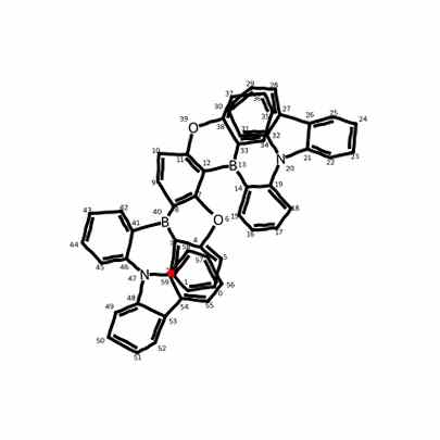 c1ccc2c(c1)Oc1c(ccc3c1B(c1ccccc1-n1c4ccccc4c4ccccc41)c1ccccc1O3)B2c1ccccc1-n1c2ccccc2c2ccccc21